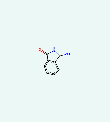 NC1NC(=O)c2ccccc21